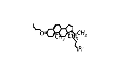 CC(C)CCC[C@@H](C)[C@H]1CCC2C3CC=C4C[C@@H](OCCI)CC[C@]4(C)C3CC[C@@]21C